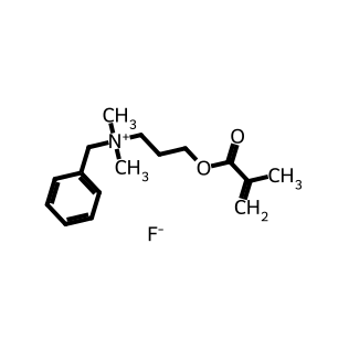 C=C(C)C(=O)OCCC[N+](C)(C)Cc1ccccc1.[F-]